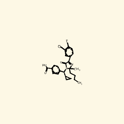 CCCCC1(C)N=C(c2ccc(F)c(Cl)c2)C(=O)N1C(c1ccc(C(=O)O)cc1)C1CC1